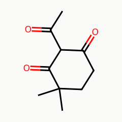 CC(=O)C1C(=O)CCC(C)(C)C1=O